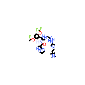 CC(F)Oc1ccc(OC(F)F)c(-c2nn(Cc3nnn(C4CN(CCC(C)(C)N(C)C)C4)n3)cc2NC(=O)c2cnn3cccnc23)c1